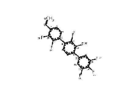 C=Cc1ccc(-c2ccc(-c3cc(F)c(F)c(F)c3)c(F)c2F)c(F)c1F